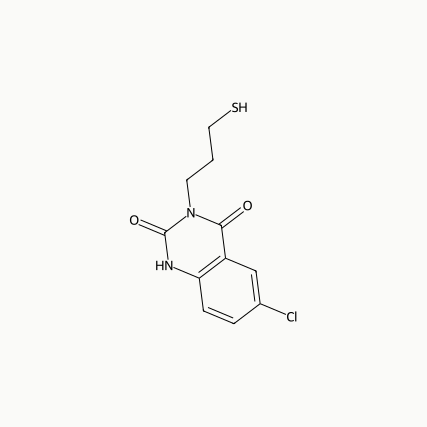 O=c1[nH]c2ccc(Cl)cc2c(=O)n1CCCS